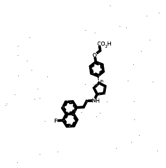 O=C(O)COc1ccc([C@@H]2CCC(NCCc3cccc4c(F)cccc34)C2)cc1